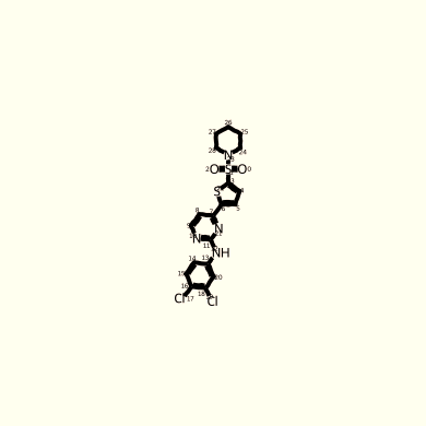 O=S(=O)(c1ccc(-c2ccnc(Nc3ccc(Cl)c(Cl)c3)n2)s1)N1CCCCC1